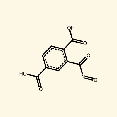 O=NC(=O)c1cc(C(=O)O)ccc1C(=O)O